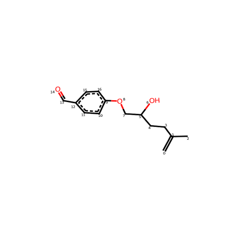 C=C(C)CCC(O)COc1ccc(C=O)cc1